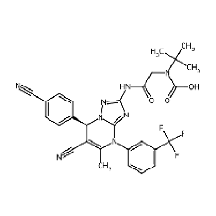 CC1=C(C#N)[C@@H](c2ccc(C#N)cc2)n2nc(NC(=O)CN(C(=O)O)C(C)(C)C)nc2N1c1cccc(C(F)(F)F)c1